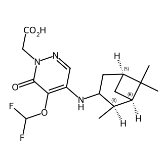 C[C@H]1C(Nc2cnn(CC(=O)O)c(=O)c2OC(F)F)C[C@@H]2C[C@H]1C2(C)C